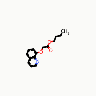 CCCCOC(=O)COc1cccc2cccnc12